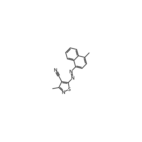 Cc1nsc(/N=N/c2ccc(C)c3ccccc23)c1C#N